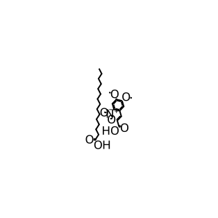 CCCCCCCCCCCCCCC(=O)O.COc1cc(C=CC(=O)O)c([N+](=O)[O-])cc1OC